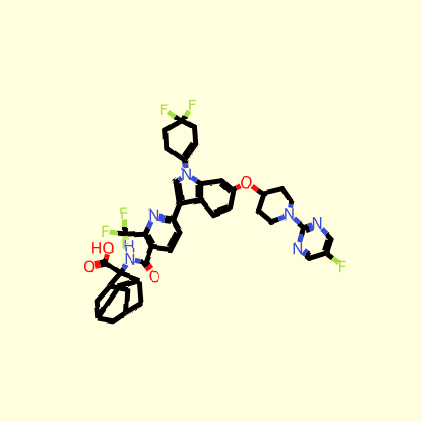 O=C(NC1(C(=O)O)C2CC3CC(C2)CC1C3)c1ccc(-c2cn(C3=CCC(F)(F)CC3)c3cc(OC4CCN(c5ncc(F)cn5)CC4)ccc23)nc1C(F)(F)F